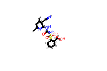 Cc1cc(C)c(C#N)c(NC(=O)NS(=O)(=O)c2ccccc2C(=O)O)n1